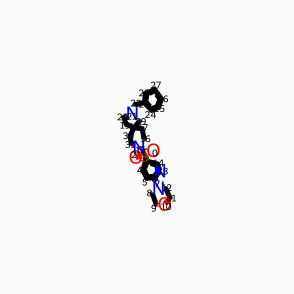 O=S(=O)(c1ccc(N2CCOCC2)nc1)N1CCC2(CCN(Cc3ccccc3)C2)CC1